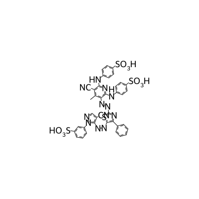 Cc1c(C#N)c(Nc2ccc(S(=O)(=O)O)cc2)nc(Nc2ccc(S(=O)(=O)O)cc2)c1N=Nc1nc(-c2ccccc2)c(/N=N\c2c(C#N)cnn2-c2cccc(S(=O)(=O)O)c2)s1